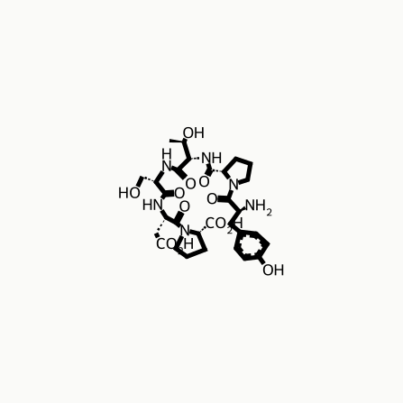 C[C@@H](O)[C@H](NC(=O)[C@@H]1CCCN1C(=O)[C@@H](N)Cc1ccc(O)cc1)C(=O)N[C@@H](CO)C(=O)N[C@@H](CC(=O)O)C(=O)N1CCC[C@H]1C(=O)O